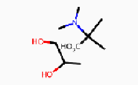 CC(O)CO.CN(C)C(C)(C)C(=O)O